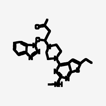 CCc1cc2c(N3CCN(C(CC(C)=O)On4nnc5ccccc54)CC3)nc(NC)nc2s1